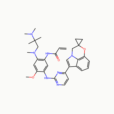 C=CC(=O)Nc1cc(Nc2nccc(-c3cn4c5c(cccc35)OC3(CC3)C4)n2)c(OC)cc1N(C)CC(C)(C)N(C)C